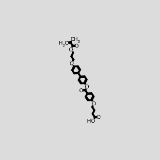 C=C(C)C(=O)OCCCOc1ccc(-c2ccc(OC(=O)c3ccc(OCCCC(=O)O)cc3)cc2)cc1